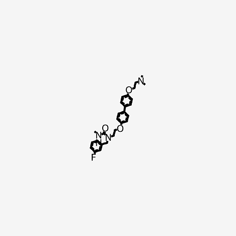 CNC(=O)N(CCOc1ccc(-c2ccc(OCCN(C)C)cc2)cc1)Cc1cccc(F)c1